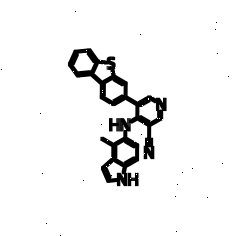 Cc1c(Nc2c(C#N)cncc2-c2ccc3c(c2)sc2ccccc23)ccc2[nH]ccc12